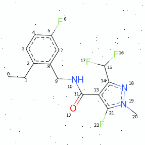 CCc1ccc(F)cc1CNC(=O)c1c(C(F)F)nn(C)c1F